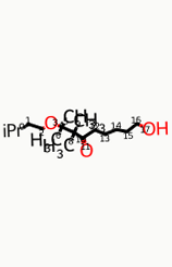 CC(C)CCOC(C)(C)C(C)(C)C(=O)CCCCCO